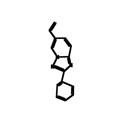 C=Cc1ccc2nc(-c3ccccc3)nn2c1